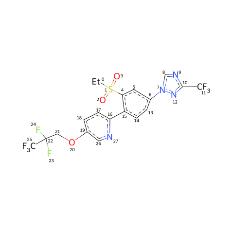 CCS(=O)(=O)c1cc(-n2cnc(C(F)(F)F)n2)ccc1-c1ccc(OCC(F)(F)C(F)(F)F)cn1